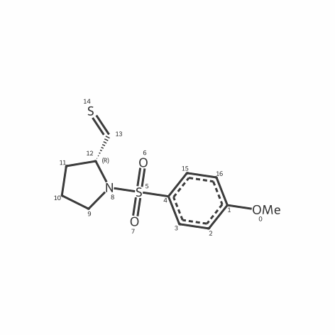 COc1ccc(S(=O)(=O)N2CCC[C@@H]2C=S)cc1